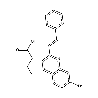 Brc1ccc2ccc(C=Cc3ccccc3)nc2c1.CCCC(=O)O